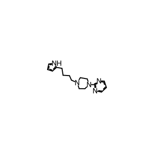 c1cnc(N2CCN(CCCCc3ccc[nH]3)CC2)nc1